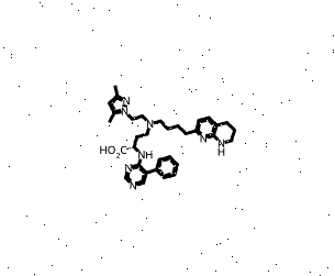 Cc1cc(C)n(CCN(CCCCc2ccc3c(n2)NCCC3)CC[C@H](Nc2ncncc2-c2ccccc2)C(=O)O)n1